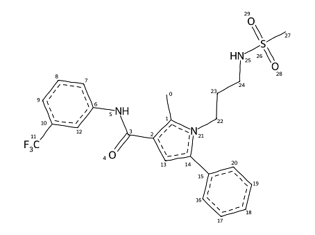 Cc1c(C(=O)Nc2cccc(C(F)(F)F)c2)cc(-c2ccccc2)n1CCCNS(C)(=O)=O